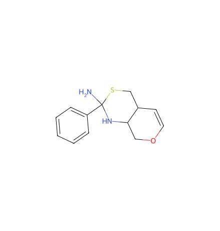 NC1(c2ccccc2)NC2COC=CC2CS1